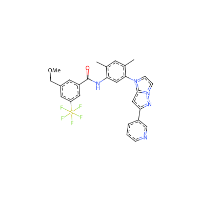 COCc1cc(C(=O)Nc2cc(-n3ccn4nc(-c5cccnc5)cc34)c(C)cc2C)cc(S(F)(F)(F)(F)F)c1